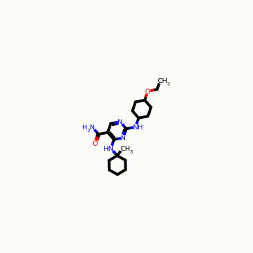 CCOC1CCC(Nc2ncc(C(N)=O)c(NC3(C)CCCCC3)n2)CC1